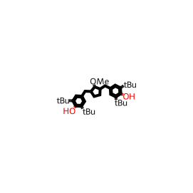 COC1C(Cc2cc(C(C)(C)C)c(O)c(C(C)(C)C)c2)CCC1Cc1cc(C(C)(C)C)c(O)c(C(C)(C)C)c1